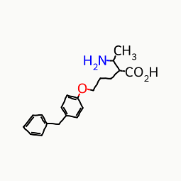 CC(N)C(CCCOc1ccc(Cc2ccccc2)cc1)C(=O)O